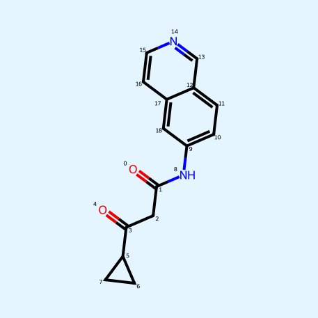 O=C(CC(=O)C1CC1)Nc1ccc2cnccc2c1